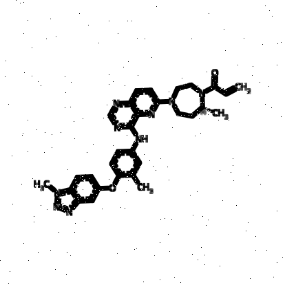 C=CC(=O)N1CCN(c2ccc3ncnc(Nc4ccc(Oc5ccc6c(c5)nnn6C)c(C)c4)c3n2)CC[C@H]1C